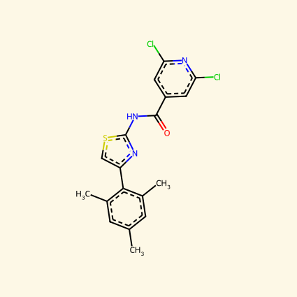 Cc1cc(C)c(-c2csc(NC(=O)c3cc(Cl)nc(Cl)c3)n2)c(C)c1